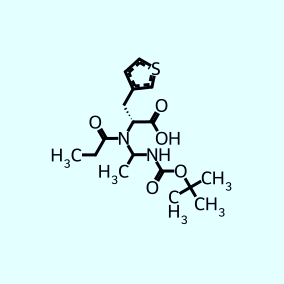 CCC(=O)N(C(C)NC(=O)OC(C)(C)C)[C@H](Cc1ccsc1)C(=O)O